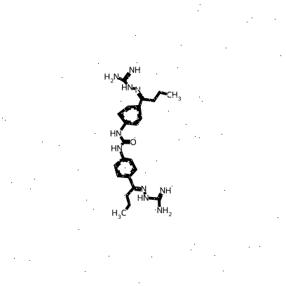 CCCC(=NNC(=N)N)c1ccc(NC(=O)Nc2ccc(/C(CCC)=N\NC(=N)N)cc2)cc1